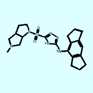 CN1CC2CCN(S(=O)(=O)c3nnc(Nc4c5c(cc6c4CCC6)CCC5)[nH]3)C2C1